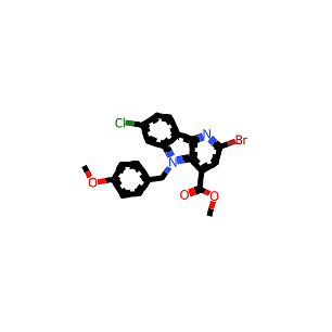 COC(=O)c1cc(Br)nc2c3ccc(Cl)cc3n(Cc3ccc(OC)cc3)c12